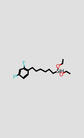 CCO[SiH](CCCCCCc1ccc(F)cc1F)OCC